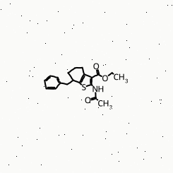 CCOC(=O)c1c(NC(C)=O)sc2c1CCCC2Cc1ccccc1